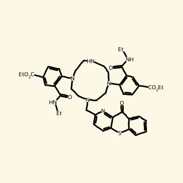 CCNC(=O)c1cc(C(=O)OCC)ccc1N1CCNCCN(c2ccc(C(=O)OCC)cc2C(=O)NCC)CCN(Cc2ccc3sc4ccccc4c(=O)c3n2)CC1